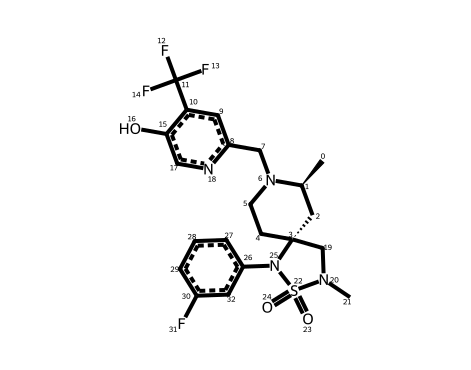 C[C@H]1C[C@]2(CCN1Cc1cc(C(F)(F)F)c(O)cn1)CN(C)S(=O)(=O)N2c1cccc(F)c1